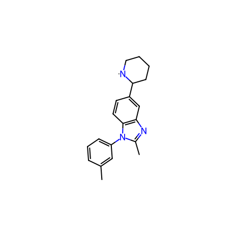 Cc1cccc(-n2c(C)nc3cc(C4CCCC[N]4)ccc32)c1